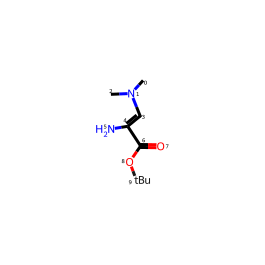 CN(C)C=C(N)C(=O)OC(C)(C)C